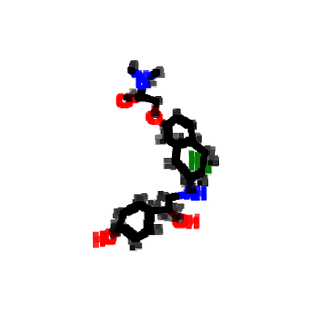 CN(C)C(=O)COc1ccc2c(c1)C[C@@H](NC[C@@H](O)c1ccc(O)cc1)CC2.Cl